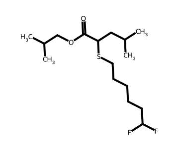 CC(C)COC(=O)C(CC(C)C)SCCCCCC(F)F